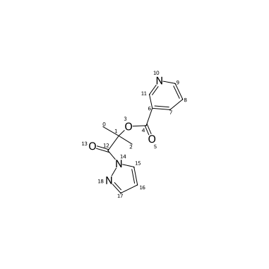 CC(C)(OC(=O)c1cccnc1)C(=O)n1cccn1